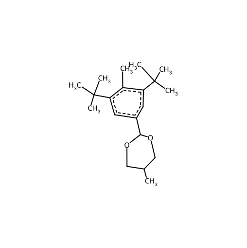 Cc1c(C(C)(C)C)cc(C2OCC(C)CO2)cc1C(C)(C)C